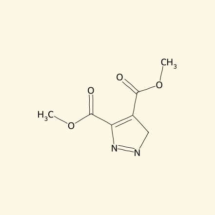 COC(=O)C1=C(C(=O)OC)N=NC1